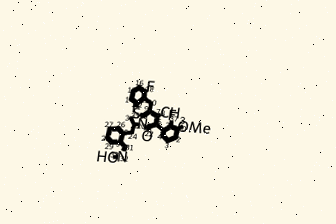 COc1cccc(-c2c(C)c(Cc3c(F)cccc3F)c3n(c2=O)C(Cc2ccccc2/C=N\O)CS3)c1F